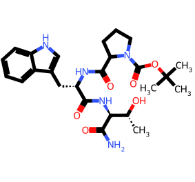 C[C@@H](O)[C@H](NC(=O)[C@H](Cc1c[nH]c2ccccc12)NC(=O)C1CCCN1C(=O)OC(C)(C)C)C(N)=O